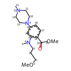 COCCCN(C)c1cc(N2CCN(C)CC2)ccc1C(=O)OC